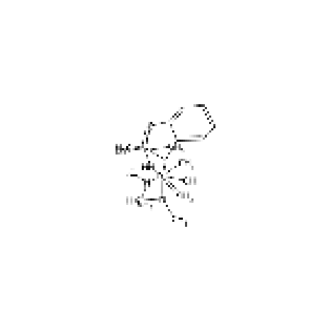 C[N](C)[Zr]([CH3])([CH3])(=[SiH2])([NH]C(C)(C)C)([CH]1C(Br)=Cc2ccccc21)[N](C)C